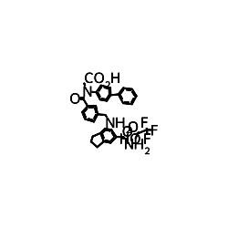 NC(=O)c1ccc2c(c1)CCC2.NCc1cccc(C(=O)N(CC(=O)O)c2ccc(-c3ccccc3)cc2)c1.O=C(O)C(F)(F)F